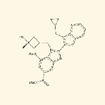 C=C(OC)c1cc(OC)c2c(c1)nc(-c1cc3cccnc3n1CC1CC1)n2C[C@H]1C[C@@](C)(O)C1